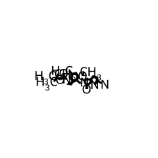 COc1cc(C)c2c(ccn2C(=O)OC(C)(C)C)c1CN1Cc2ccc(C#N)nc2C1=O